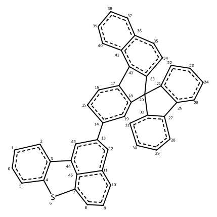 c1ccc2c(c1)Sc1cccc3cc(-c4ccc5c(c4)C4(c6ccccc6-c6ccccc64)c4ccc6ccccc6c4-5)cc-2c13